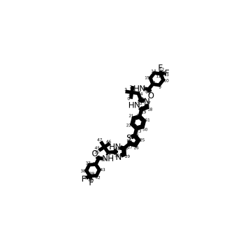 CC(C)(C)[C@H](NC(=O)C1CCC(F)(F)CC1)c1ncc(-c2ccc(-c3ccc(-c4cnc([C@@H](NC(=O)C5CCC(F)(F)CC5)C(C)(C)C)[nH]4)s3)cc2)[nH]1